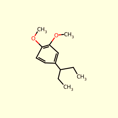 CCC(CC)c1ccc(OC)c(OC)c1